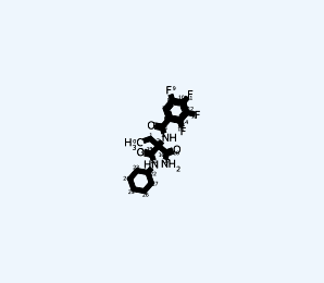 CCC(NC(=O)c1cc(F)c(F)c(F)c1F)(C(N)=O)C(=O)NC1CCCCC1